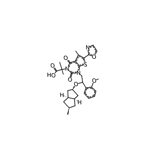 COc1ccccc1C(Cn1c(=O)n(C(C)(C)C(=O)O)c(=O)c2c(C)c(-c3ncco3)sc21)O[C@H]1C[C@H]2C[C@@H](C)C[C@H]2C1